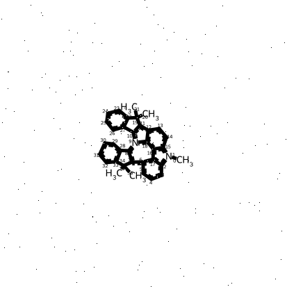 Cn1c2cccc3c4c(n5c6c(c7ccc1c(c32)c75)C(C)(C)c1ccccc1-6)-c1ccccc1C4(C)C